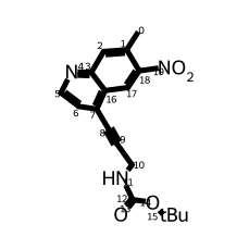 Cc1cc2nccc(C#CCNC(=O)OC(C)(C)C)c2cc1[N+](=O)[O-]